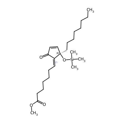 CCCCCCCC[C@@]1(O[Si](C)(C)C)C=CC(=O)/C1=C\CCCCCC(=O)OC